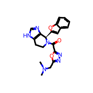 CN(C)Cc1nnc(C(=O)N2CCc3[nH]cnc3[C@H]2c2cc3ccccc3o2)o1